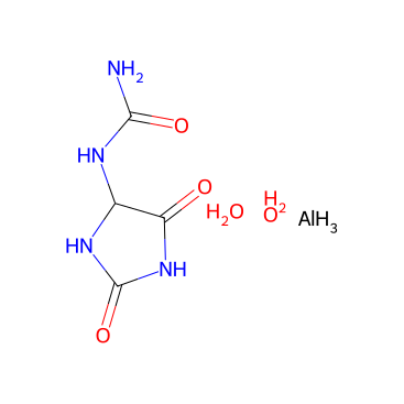 NC(=O)NC1NC(=O)NC1=O.O.O.[AlH3]